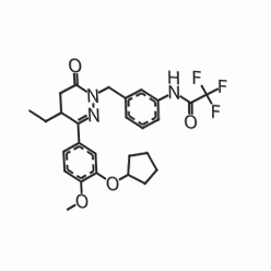 CCC1CC(=O)N(Cc2cccc(NC(=O)C(F)(F)F)c2)N=C1c1ccc(OC)c(OC2CCCC2)c1